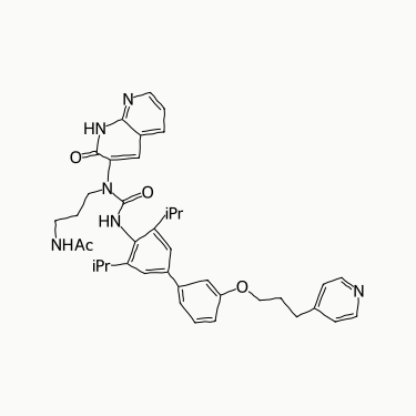 CC(=O)NCCCN(C(=O)Nc1c(C(C)C)cc(-c2cccc(OCCCc3ccncc3)c2)cc1C(C)C)c1cc2cccnc2[nH]c1=O